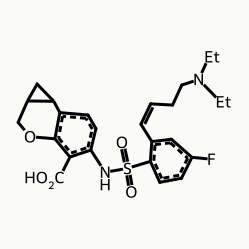 CCN(CC)CC/C=C\c1cc(F)ccc1S(=O)(=O)Nc1ccc2c(c1C(=O)O)OCC1CC21